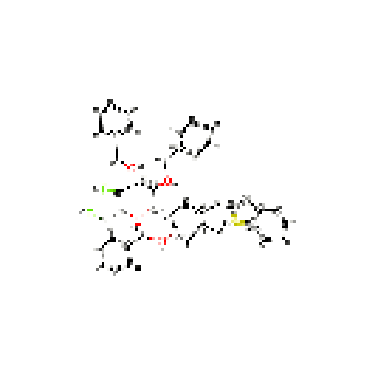 Cc1cc(OCc2ccccc2)c([C@@H]2O[C@H](CF)[C@@H](F)[C@H](OCc3ccccc3)[C@H]2OCc2ccccc2)cc1Cc1cc2ccccc2s1